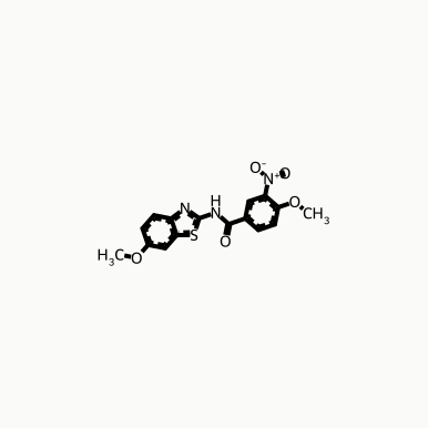 COc1ccc2nc(NC(=O)c3ccc(OC)c([N+](=O)[O-])c3)sc2c1